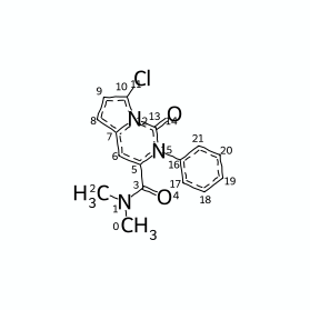 CN(C)C(=O)c1cc2ccc(Cl)n2c(=O)n1-c1ccccc1